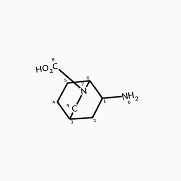 NC1CC2CCC1N(C(=O)O)C2